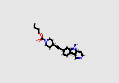 CCCCOC(=O)N1CCC(C#Cc2ccc3c4cnccc4n(C)c3c2)CC1